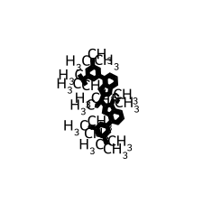 CCC1(C)C2=Cc3c(-c4cc(C(C)(C)C)cc(C(C)(C)C)c4)cccc3[CH]2[Hf]([CH3])([CH3])[CH]2C1=Cc1c(-c3cc(C(C)(C)C)cc(C(C)(C)C)c3)cccc12